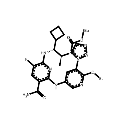 CCOc1ncc(Nc2nc(N[C@H](C3CCC3)[C@H](C)NC(=O)OC(C)(C)C)c(F)cc2C(N)=O)cc1-n1ccnn1